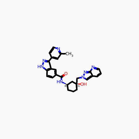 Cc1cc(-c2n[nH]c3ccc(C(=O)N[C@@H]4CCC[C@@](O)(Cn5cc6cccnc6n5)C4)cc23)ccn1